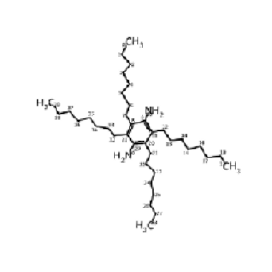 CCCCCCCCc1c(N)c(CCCCCCCC)c(CCCCCCCC)c(N)c1CCCCCCCC